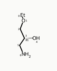 CCOC[C@H](O)CN